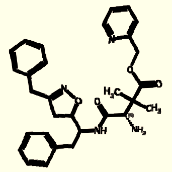 CC(C)(C(=O)OCc1ccccn1)[C@H](N)C(=O)NC(Cc1ccccc1)C1CC(Cc2ccccc2)=NO1